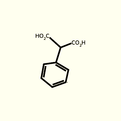 O=C(O)C(C(=O)O)c1c[c]ccc1